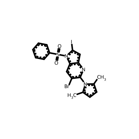 Cc1ccc(C)n1-c1nc2cc(I)n(S(=O)(=O)c3ccccc3)c2cc1Br